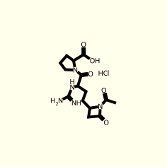 CC(=O)N1C(=O)CC1CCC(NC(=N)N)C(=O)N1CCCC1C(=O)O.Cl